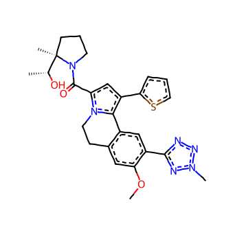 COc1cc2c(cc1-c1nnn(C)n1)-c1c(-c3cccs3)cc(C(=O)N3CCC[C@]3(C)[C@@H](C)O)n1CC2